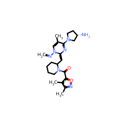 C=NN1C=C(C)C(N2CC[C@H](N)C2)=N/C1=C/C1CCCCN1C(=O)c1onc(C)c1C